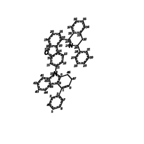 C1=C(c2ccccc2)c2c(n(-c3ccc4c(c3)oc3cccc(C5=NC(c6ccccc6)Cc6ccccc65)c34)c3ccccc23)CC1